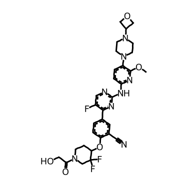 COc1nc(Nc2ncc(F)c(-c3ccc(OC4CCN(C(=O)CO)CC4(F)F)c(C#N)c3)n2)ccc1N1CCN(C2COC2)CC1